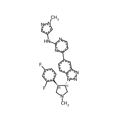 CN1C[C@@H](n2nnc3cc(-c4ccnc(Nc5cnn(C)c5)n4)ccc32)[C@H](c2ccc(F)cc2F)C1